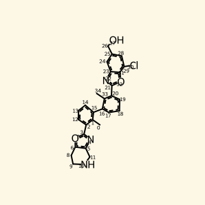 Cc1c(-c2nc3c(o2)CCNC3)cccc1-c1cccc(-c2nc3cc(CO)cc(Cl)c3o2)c1C